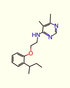 CCC(C)c1ccccc1OCCNc1ncnc(C)c1C